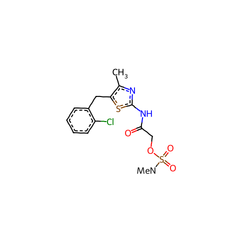 CNS(=O)(=O)OCC(=O)Nc1nc(C)c(Cc2ccccc2Cl)s1